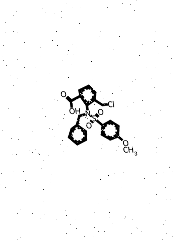 COc1ccc(S(=O)(=O)N(Cc2ccccc2)c2c(CCl)cccc2C(=O)O)cc1